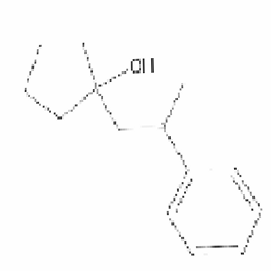 C[C](CC1(O)CCCC1)c1ccccc1